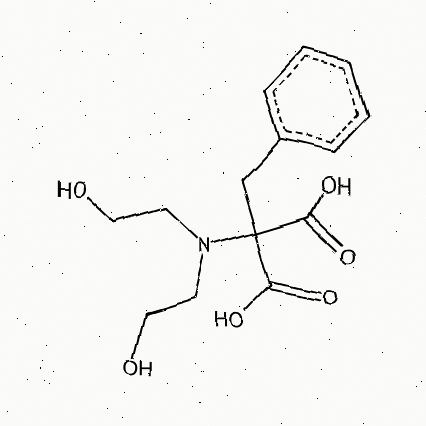 O=C(O)C(Cc1ccccc1)(C(=O)O)N(CCO)CCO